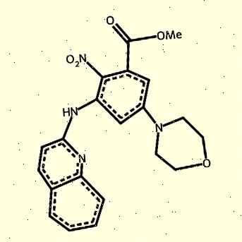 COC(=O)c1cc(N2CCOCC2)cc(Nc2ccc3ccccc3n2)c1[N+](=O)[O-]